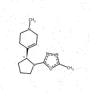 Cc1nnc(N2CCC[C@H]2C2=CCN(C)CC2)o1